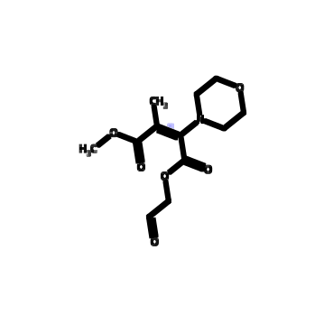 COC(=O)/C(C)=C(\C(=O)OCC=O)N1CCOCC1